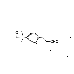 CC1(c2ccc(CCC=O)cc2)COC1